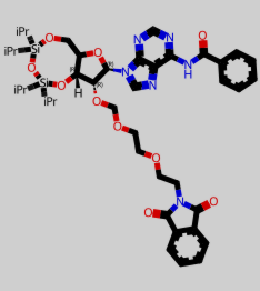 CC(C)[Si]1(C(C)C)OCC2O[C@@H](n3cnc4c(NC(=O)c5ccccc5)ncnc43)[C@H](OCOCCOCCN3C(=O)c4ccccc4C3=O)[C@@H]2O[Si](C(C)C)(C(C)C)O1